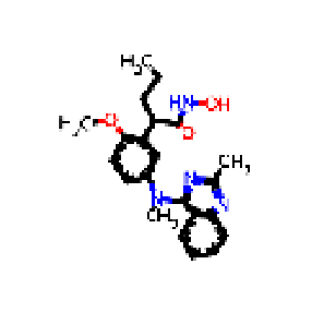 CCCC(C(=O)NO)c1cc(N(C)c2nc(C)nc3ccccc23)ccc1OC